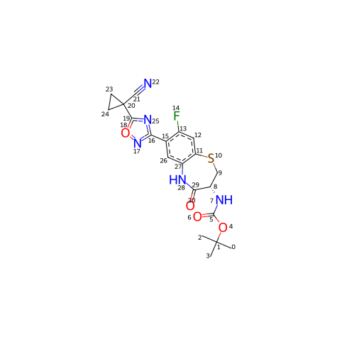 CC(C)(C)OC(=O)N[C@H]1CSc2cc(F)c(-c3noc(C4(C#N)CC4)n3)cc2NC1=O